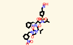 CC(C)CN(C[C@@H](O)[C@H](Cc1ccccc1)NC(=O)[C@H](C(C)C)N1CC(=O)N(Cc2cccc([N+](=O)[O-])c2)C1=O)S(=O)(=O)c1ccc(C=NO)cc1